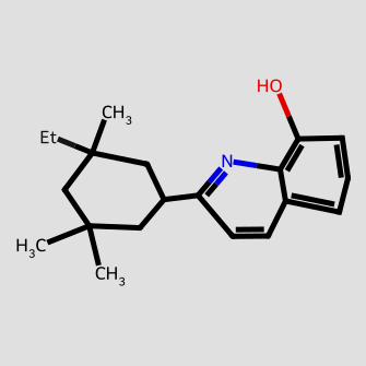 CCC1(C)CC(c2ccc3cccc(O)c3n2)CC(C)(C)C1